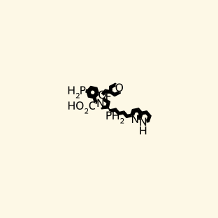 O=C(O)C(c1cc(P)ccc1OCC1(F)CCOCC1)N1CC[C@@H](C(P)CCCCc2ccc3c(n2)NCCC3)C1